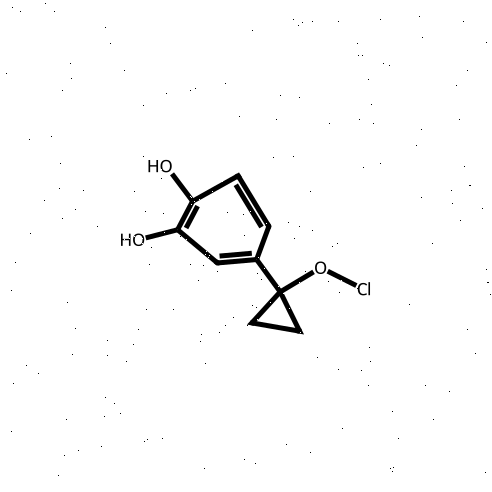 Oc1ccc(C2(OCl)CC2)cc1O